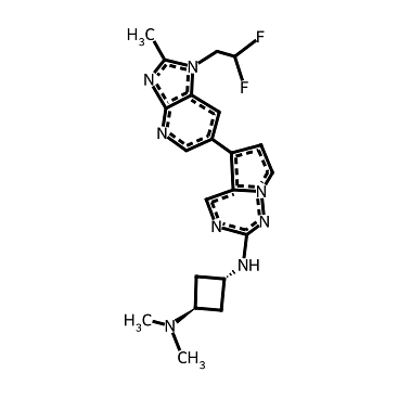 Cc1nc2ncc(-c3ccn4nc(N[C@H]5C[C@H](N(C)C)C5)ncc34)cc2n1CC(F)F